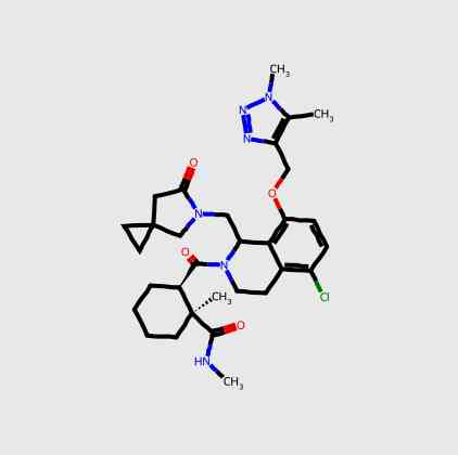 CNC(=O)[C@@]1(C)CCCC[C@H]1C(=O)N1CCc2c(Cl)ccc(OCc3nnn(C)c3C)c2C1CN1CC2(CC2)CC1=O